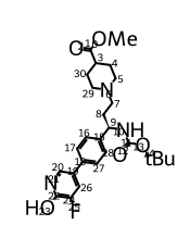 COC(=O)C1CCN(CC[C@@H](NC(=O)OC(C)(C)C)c2ccc(-c3cnc(O)c(F)c3)cc2)CC1